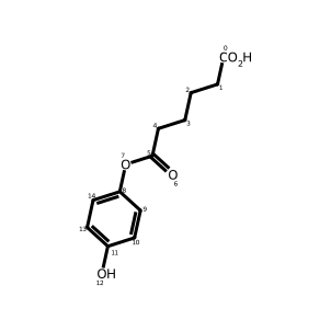 O=C(O)CCCCC(=O)Oc1ccc(O)cc1